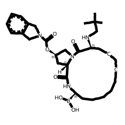 CC(C)(C)CN[C@H]1CCCCCCCCC[C@@H](B(O)O)NC(=O)[C@@H]2C[C@@H](OC(=O)N3Cc4ccccc4C3)CN2C1=O